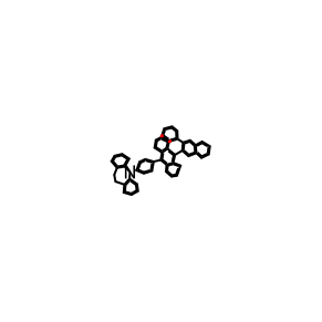 c1ccc(-c2cc3ccccc3cc2-c2c3ccccc3c(-c3ccc(N4c5ccccc5CCc5ccccc54)cc3)c3ccccc23)cc1